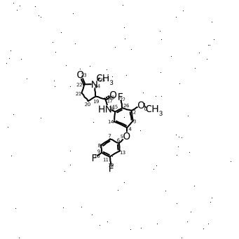 COc1cc(Oc2ccc(F)c(F)c2)cc(NC(=O)C2CCC(=O)N2C)c1F